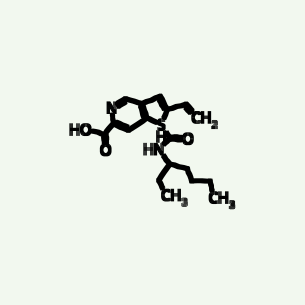 C=CC1=Cc2cnc(C(=O)O)cc2[SH]1C(=O)NC(CC)CCCC